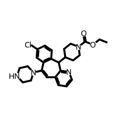 CCOC(=O)N1CCC(C2c3ccc(Cl)cc3C(N3CCNCC3)=Cc3cccnc32)CC1